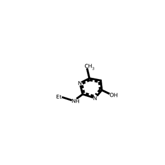 CCNc1nc(C)cc(O)n1